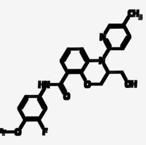 Cc1ccc(N2c3cccc(C(=O)Nc4ccc(OC(C)C)c(F)c4)c3OCC2CO)nc1